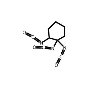 O=C=NC1CCCCC1(N=C=O)N=C=O